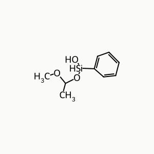 COC(C)O[SiH](O)c1ccccc1